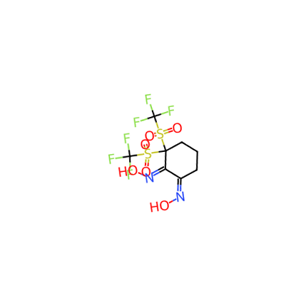 O=S(=O)(C(F)(F)F)C1(S(=O)(=O)C(F)(F)F)CCCC(=NO)C1=NO